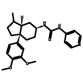 COc1ccc([C@@]23CC[C@@H](NC(=O)Nc4ccncc4)C[C@@H]2N(C)CC3)cc1OC